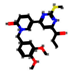 CCC(=O)c1cc(-c2ccc(=O)n(Cc3ccc(OC)c(OC)c3)c2)nc(SC)n1